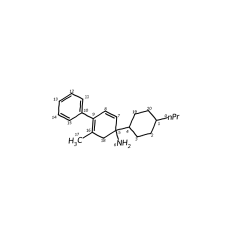 CCCC1CCC(C2(N)C=CC(c3ccccc3)=C(C)C2)CC1